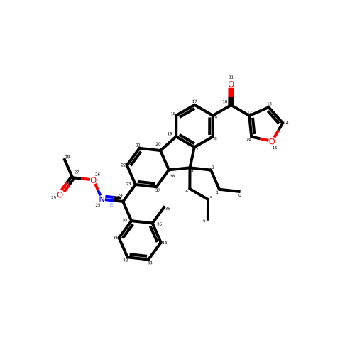 CCCC1(CCC)c2cc(C(=O)c3ccoc3)ccc2C2C=CC(/C(=N\OC(C)=O)c3ccccc3C)=CC21